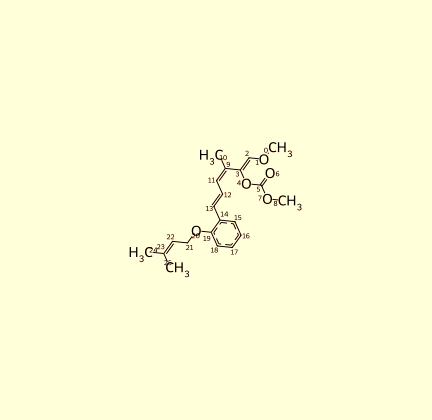 COC=C(OC(=O)OC)C(C)=CC=Cc1ccccc1OCC=C(C)C